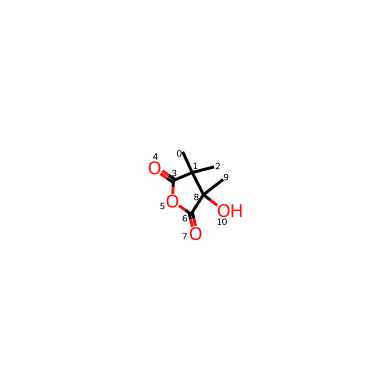 CC1(C)C(=O)OC(=O)C1(C)O